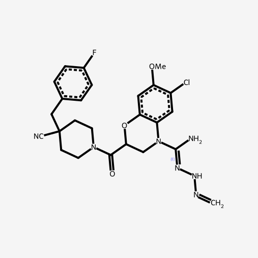 C=NN/N=C(\N)N1CC(C(=O)N2CCC(C#N)(Cc3ccc(F)cc3)CC2)Oc2cc(OC)c(Cl)cc21